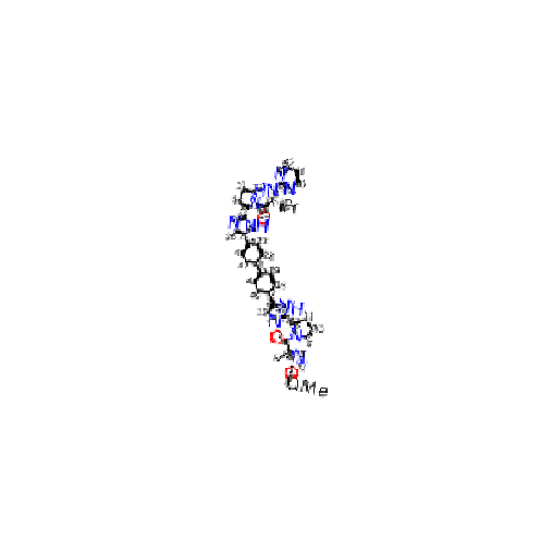 COO/C=N\[C@@H](C)C(=O)N1CCC[C@H]1c1ncc(-c2ccc(-c3ccc(-c4cnc([C@@H]5CCCN5C(=O)[C@H](Nc5ncccn5)C(C)C)[nH]4)cc3)cc2)[nH]1